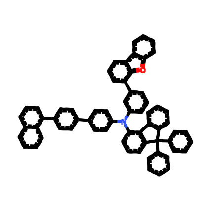 c1ccc(C2(c3ccccc3)c3ccccc3-c3c(N(c4ccc(-c5ccc(-c6cccc7ccccc67)cc5)cc4)c4cccc(-c5cccc6c5oc5ccccc56)c4)cccc32)cc1